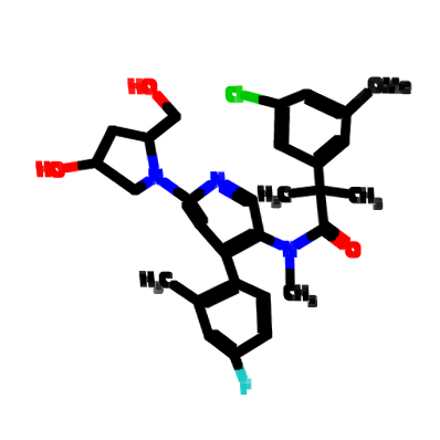 COc1cc(Cl)cc(C(C)(C)C(=O)N(C)c2cnc(N3CC(O)CC3CO)cc2-c2ccc(F)cc2C)c1